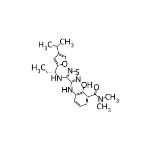 CC[C@@H](Nc1nsnc1Nc1cccc(C(=O)N(C)C)c1O)c1cc(C(C)C)co1